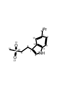 CC(C)c1ccc2[nH]cc(CCS(C)(=O)=O)c2c1